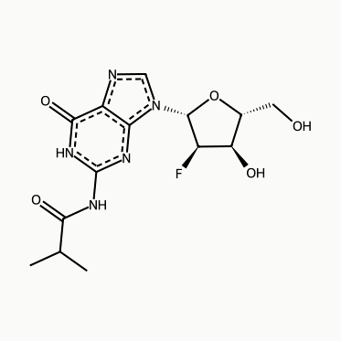 CC(C)C(=O)Nc1nc2c(ncn2[C@@H]2O[C@H](CO)[C@@H](O)[C@H]2F)c(=O)[nH]1